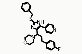 Fc1ccc(CCC(c2nc(SCc3ccccc3)[nH]c2-c2ccncc2)N2CCOCC2)cc1